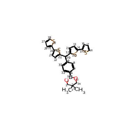 CC1(C)COB(c2ccc(C(c3ccc(-c4cccs4)s3)c3ccc(-c4cccs4)s3)cc2)OC1